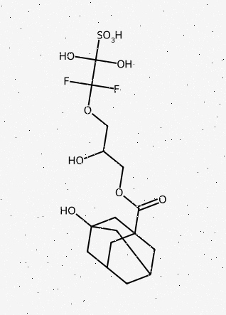 O=C(OCC(O)COC(F)(F)C(O)(O)S(=O)(=O)O)C12CC3CC(CC(O)(C3)C1)C2